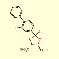 CCOC(=O)[C@@H]1OC(CC)(c2ccc(-c3ccccc3)c(F)c2)O[C@H]1C(=O)OCC